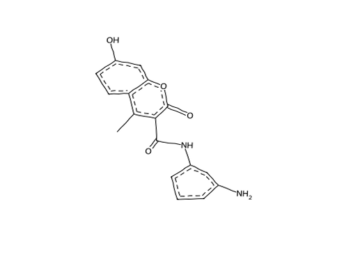 Cc1c(C(=O)Nc2cccc(N)c2)c(=O)oc2cc(O)ccc12